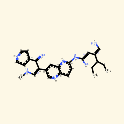 CCC(CC)C(=C/N)/C=C(\N)Nc1ccc2ncc(/C(=C/NC)C(=N)c3ccncc3)cc2n1